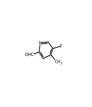 Cc1cc(C=O)ncc1F